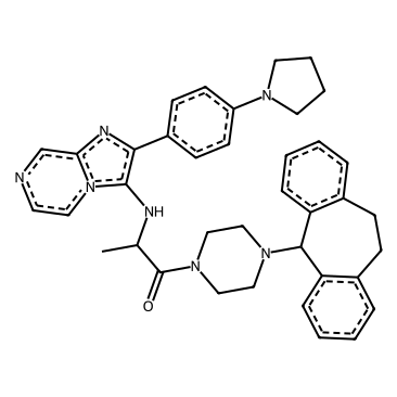 CC(Nc1c(-c2ccc(N3CCCC3)cc2)nc2cnccn12)C(=O)N1CCN(C2c3ccccc3CCc3ccccc32)CC1